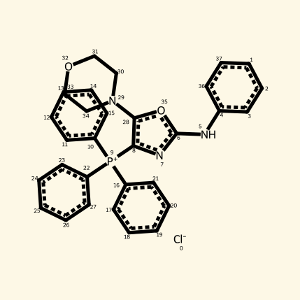 [Cl-].c1ccc(Nc2nc([P+](c3ccccc3)(c3ccccc3)c3ccccc3)c(N3CCOCC3)o2)cc1